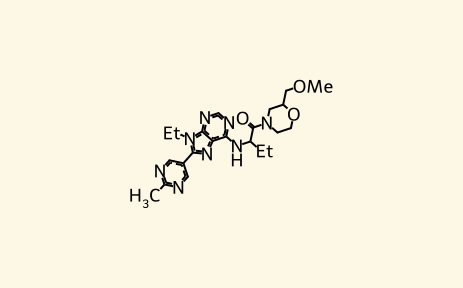 CCC(Nc1ncnc2c1nc(-c1cnc(C)nc1)n2CC)C(=O)N1CCOC(COC)C1